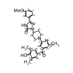 COc1cccc(-c2nn(C3CCN(c4cc(C(=O)c5cc(C)c(O)c(C)c5)cc(C)n4)CC3)c(=O)[nH]2)c1